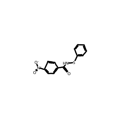 O=C(NSc1ccccc1)c1ccc([N+](=O)[O-])cc1